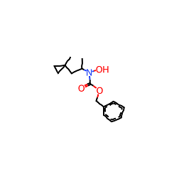 CC(CC1(C)CC1)N(O)C(=O)OCc1ccccc1